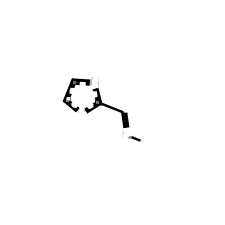 ON=Cc1nccs1